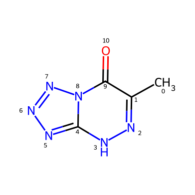 Cc1n[nH]c2nnnn2c1=O